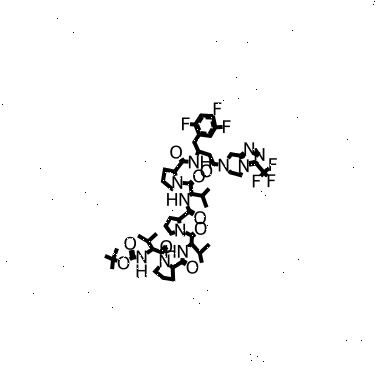 CC(C)C(NC(=O)OC(C)(C)C)C(=O)N1CCCC1C(=O)NC(C(=O)N1CCCC1C(=O)NC(C(=O)N1CCCC1C(=O)NC(CC(=O)N1CCn2c(nnc2C(F)(F)F)C1)Cc1cc(F)c(F)cc1F)C(C)C)C(C)C